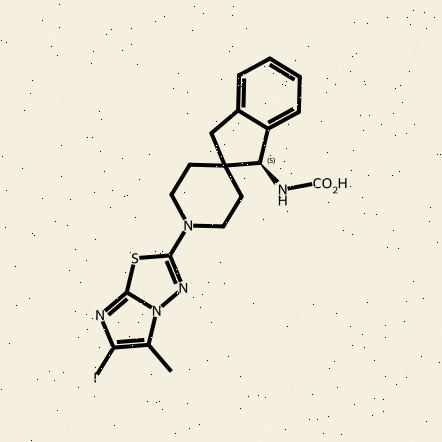 Cc1c(I)nc2sc(N3CCC4(CC3)Cc3ccccc3[C@H]4NC(=O)O)nn12